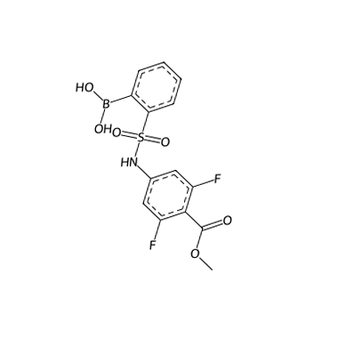 COC(=O)c1c(F)cc(NS(=O)(=O)c2ccccc2B(O)O)cc1F